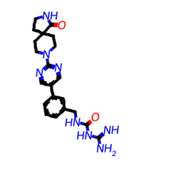 N=C(N)NC(=O)NCc1cccc(-c2cnc(N3CCC4(CCNC4=O)CC3)nc2)c1